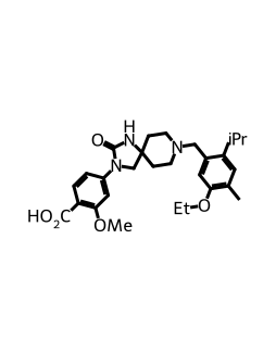 CCOc1cc(CN2CCC3(CC2)CN(c2ccc(C(=O)O)c(OC)c2)C(=O)N3)c(C(C)C)cc1C